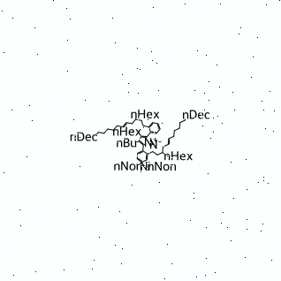 CCCCCCCCCCCCCCCC=CCC(CCCCCC)CCc1ccccc1C1=C(CCCC)C(CCCCCC)=C(c2ccccc2CCC(CC=CCCCCCCCCCCCCCCC)CCCCCC)[N+]1=[N-].CCCCCCCC[CH2][Ni][CH2]CCCCCCCC